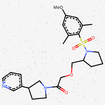 COc1cc(C)c(S(=O)(=O)N2CCCC2COCC(=O)N2CCC(c3cccnc3)C2)c(C)c1